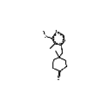 COc1nccc(CC2(C)CCC(=O)CC2)c1C